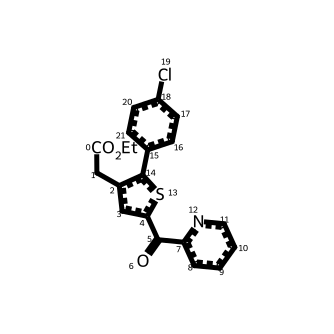 CCOC(=O)Cc1cc(C(=O)c2ccccn2)sc1-c1ccc(Cl)cc1